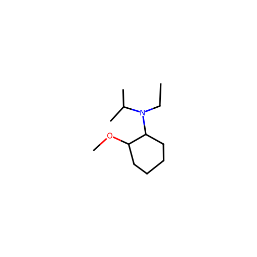 CCN(C(C)C)C1CCCCC1OC